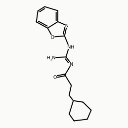 N/C(=N\C(=O)CCC1CCCCC1)Nc1nc2ccccc2o1